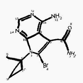 CC1(n2c(Br)c(C(N)=O)c3c(N)ncnc32)CC1